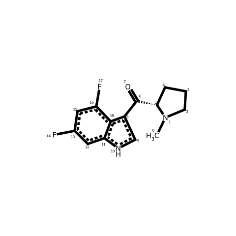 CN1CCC[C@H]1C(=O)c1c[nH]c2cc(F)cc(F)c12